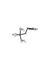 N=CCC(N)(N)N